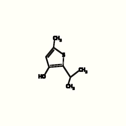 Cc1cc(O)c(C(C)C)s1